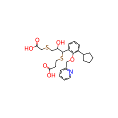 O=C(O)CCSC(c1cccc(C2CCCC2)c1OCc1ccccn1)C(O)CSCC(=O)O